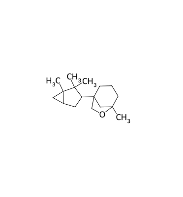 CC12CCCC(C3CC4CC4(C)C3(C)C)(CO1)C2